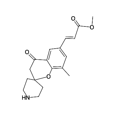 COC(=O)C=Cc1cc(C)c2c(c1)C(=O)CC1(CCNCC1)O2